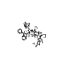 Cn1nnnc1SCC1(C(=O)OC(c2ccccc2)c2ccccc2)CS[C@@H]2C(NC(=O)C(=CCl)c3cnc(N)s3)C(=O)N2C1